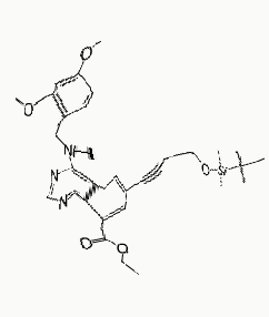 CCOC(=O)c1cc(C#CCO[Si](C)(C)C(C)(C)C)cc2c(NCc3ccc(OC)cc3OC)ncnc12